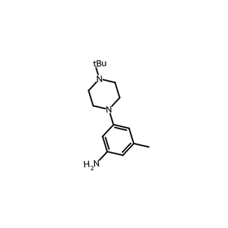 Cc1cc(N)cc(N2CCN(C(C)(C)C)CC2)c1